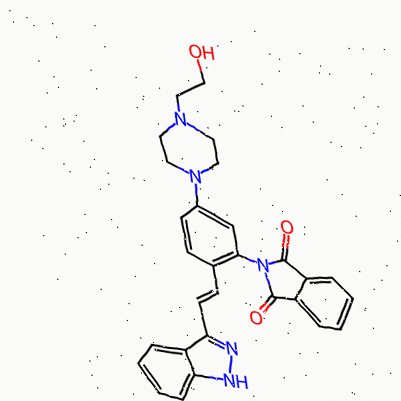 O=C1c2ccccc2C(=O)N1c1cc(N2CCN(CCO)CC2)ccc1C=Cc1n[nH]c2ccccc12